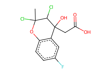 CC1(Cl)Oc2ccc(F)cc2C(O)(CC(=O)O)C1Cl